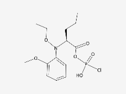 CCC[C@@H](C(=O)OP(=O)(O)Cl)N(OCC)c1ccccc1OC